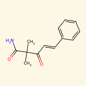 CC(C)(C(N)=O)C(=O)C=Cc1ccccc1